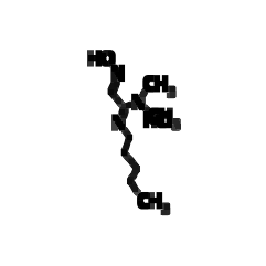 CCCCCN=C(C=NO)N(C)C.Cl